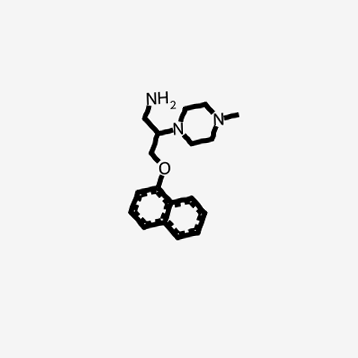 CN1CCN(C(CN)COc2cccc3ccccc23)CC1